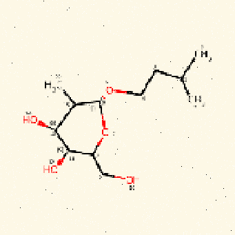 CC(C)CCO[C@@H]1OC(CO)[C@@H](O)[C@@H](O)C1C